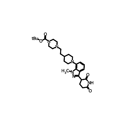 Cn1nc(C2CCC(=O)NC2=O)c2cccc(N3CCC(CCN4CCN(C(=O)OC(C)(C)C)CC4)CC3)c21